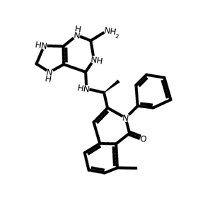 Cc1cccc2cc([C@H](C)NC3NC(N)NC4=C3NCN4)n(-c3ccccc3)c(=O)c12